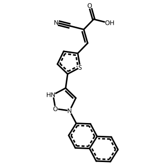 N#C/C(=C\c1ccc(C2=CN(c3ccc4ccccc4c3)ON2)s1)C(=O)O